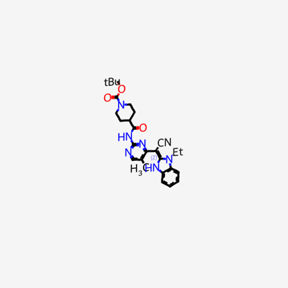 CCN1/C(=C(\C#N)c2nc(NC(=O)C3CCN(C(=O)OC(C)(C)C)CC3)ncc2C)Nc2ccccc21